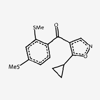 CSc1ccc(C(=O)c2cnoc2C2CC2)c(SC)c1